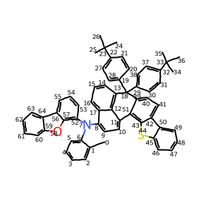 Cc1ccccc1N(c1ccc2c3c(cccc13)C(c1ccc(C(C)(C)C)cc1)(c1ccc(C(C)(C)C)cc1)c1ccc3c(sc4ccccc43)c1-2)c1cccc2c1oc1ccccc12